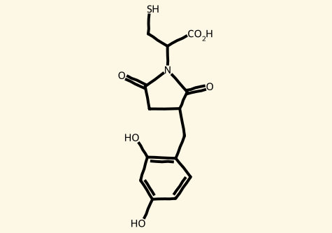 O=C(O)C(CS)N1C(=O)CC(Cc2ccc(O)cc2O)C1=O